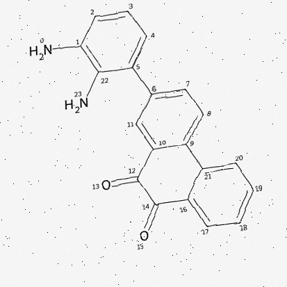 Nc1cccc(-c2ccc3c(c2)C(=O)C(=O)c2ccccc2-3)c1N